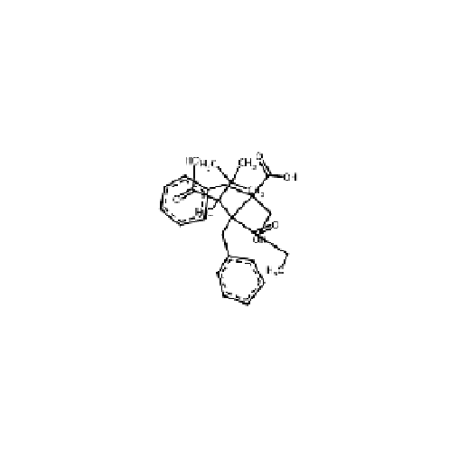 CCCCC(Cc1ccccc1)(C(=O)O)C(Cc1ccccc1)(C(=O)O)C(C)(C(=O)O)C(C)(C)C